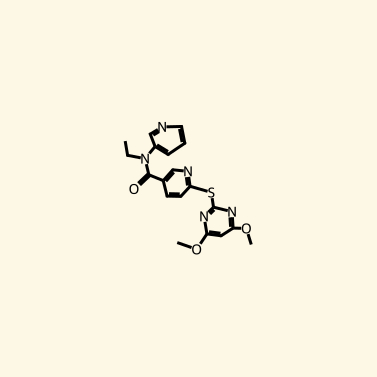 CCN(C(=O)c1ccc(Sc2nc(OC)cc(OC)n2)nc1)c1cccnc1